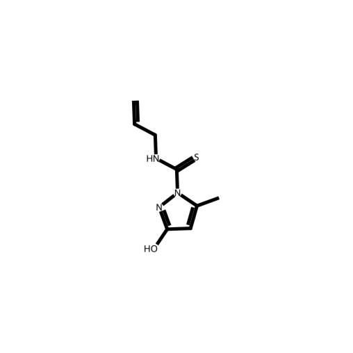 C=CCNC(=S)n1nc(O)cc1C